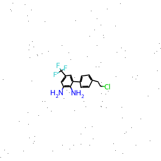 Nc1cc(C(F)(F)F)cc(-c2ccc(CCCl)cc2)c1N